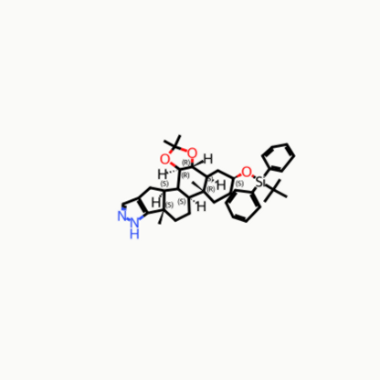 CC1(C)O[C@H]2[C@H](O1)C1[C@H](CC[C@]3(C)c4[nH]ncc4C[C@@H]13)[C@@]1(C)CC[C@H](O[Si](c3ccccc3)(c3ccccc3)C(C)(C)C)C[C@H]21